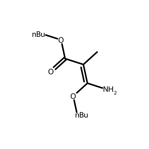 CCCCOC(=O)/C(C)=C(/N)OCCCC